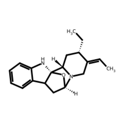 C/C=C1\CN2[C@@H](C[C@@H]1CC)[C@]13Nc4ccccc4C1C[C@H]2O3